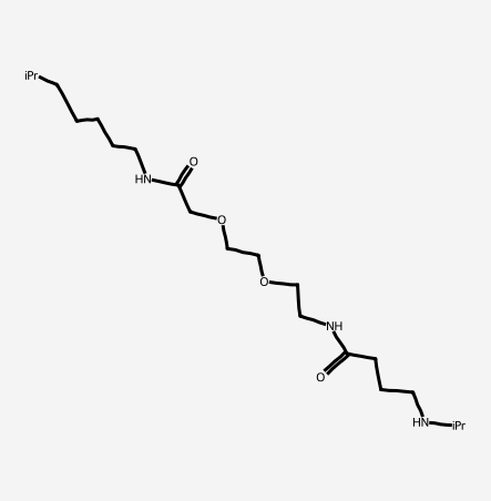 CC(C)CCCCCNC(=O)COCCOCCNC(=O)CCCNC(C)C